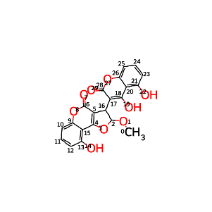 COC1Oc2c(c(=O)oc3cccc(O)c23)C1c1c(O)c2c(O)cccc2oc1=O